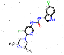 C[C@@H]1CN(c2ncc(NC(=O)Nc3c[nH]c4ccc(Cl)cc34)cc2Cl)C[C@@H](C)N1